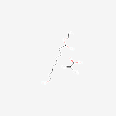 C=C(C)C(=O)O.CCOC(O)CCCCCCCCO